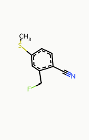 CSc1ccc(C#N)c(CF)c1